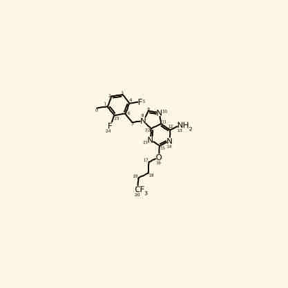 Cc1ccc(F)c(Cn2cnc3c(N)nc(OCCCC(F)(F)F)nc32)c1F